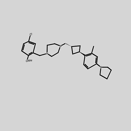 COc1ccc(Cl)cc1CN1CCN(C[C@H]2C[C@H](c3ccc(N4CCCC4)cc3C)C2)CC1